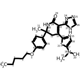 CCCCCOc1ccc(C2(C)CC(c3ncc(N(C)C)s3)=C(c3nnc[nH]3)C(=O)N2)cc1